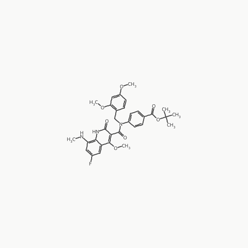 CNc1cc(F)cc2c(OC)c(C(=O)N(Cc3ccc(OC)cc3OC)c3ccc(C(=O)OC(C)(C)C)cc3)c(=O)[nH]c12